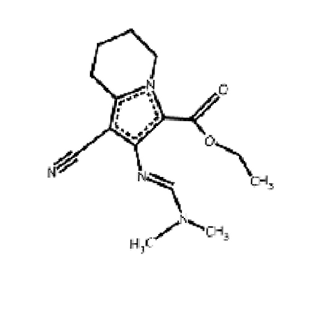 CCOC(=O)c1c(N=CN(C)C)c(C#N)c2n1CCCC2